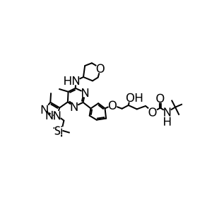 Cc1nnn(C[Si](C)(C)C)c1-c1nc(-c2cccc(OCC(O)CCOC(=O)NC(C)(C)C)c2)nc(NC2CCOCC2)c1C